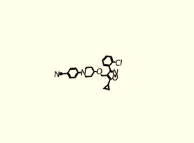 N#Cc1ccc(N2CCC(OCc3c(-c4ccccc4Cl)noc3C3CC3)CC2)cc1